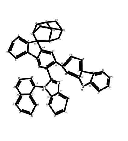 c1ccc2c(c1)-c1cc(-c3nc4ccccc4n3-c3cccc4ccccc34)c(-c3ccc4c(c3)sc3ccccc34)cc1C21C2CC3CC(C2)CC1C3